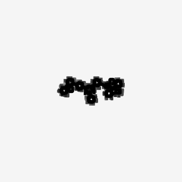 C1=CC2c3ccccc3C3(c4ccccc4Oc4cc(-c5cccc(-c6cc(-c7ccc(-c8cccc9c8oc8ccccc89)cc7)nc(-c7ccccc7)n6)c5)ccc43)C2C=C1